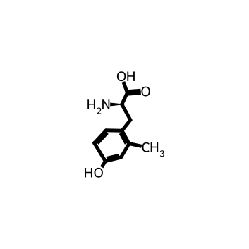 Cc1cc(O)ccc1C[C@@H](N)C(=O)O